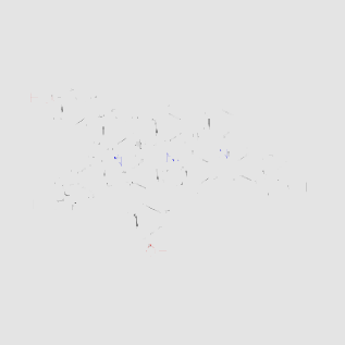 CC(C)(C)c1ccc(N2c3ccccc3B3c4cccc5c4N(c4cccc2c43)c2cc(-c3ccc(O)cc3)cc3c2B5c2ccc(-c4ccc(O)cc4)cc2N3c2ccc(C(C)(C)C)cc2)cc1